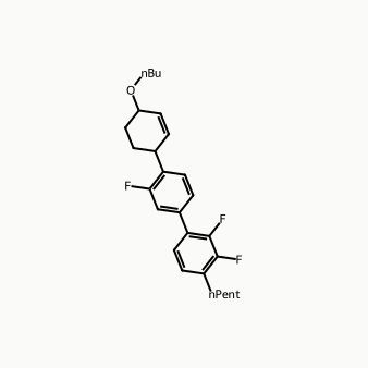 CCCCCc1ccc(-c2ccc(C3C=CC(OCCCC)CC3)c(F)c2)c(F)c1F